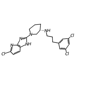 Clc1cc(Cl)cc(CCCN[C@H]2CCCN(c3nc4nc(Cl)ccc4[nH]3)C2)c1